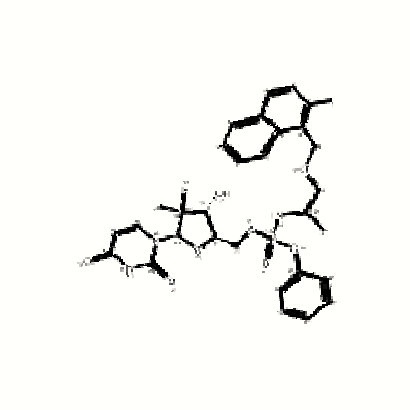 Cc1ccc2ccccc2c1COCC(C)NP(=O)(OC[C@H]1O[C@@H](n2ccc(=O)[nH]c2=O)[C@](C)(F)[C@@H]1O)Oc1ccccc1